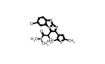 Cc1cc(-c2nc3sc4ccc(Cl)cc4n3c2C(Cl)C(=O)N(C)C)c(C)s1